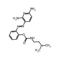 CN(C)CCNC(=O)Oc1ccccc1/N=N/c1ccc(N)nc1N